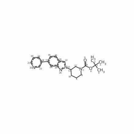 CC(C)(C)OC(=O)N1CCCC(n2cc3ccc(-c4cccnc4)cc3n2)C1